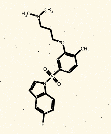 Cc1ccc(S(=O)(=O)n2ccc3cc(F)ccc32)cc1OCCCN(C)C